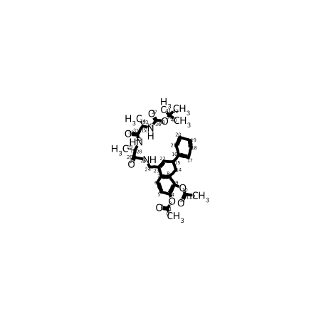 CC(=O)Oc1ccc2c(c1OC(C)=O)CC(c1ccccc1)C=C2CNC(=O)[C@H](C)NC(=O)[C@H](C)NC(=O)OC(C)(C)C